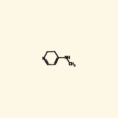 CNC1=CC=NCC1